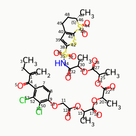 C=C(CC)C(=O)c1ccc(OCC(=O)OC(C)C(=O)OC(C)C(=O)OC(C)C(=O)OC(C)C(=O)NS(=O)(=O)c2cc3c(s2)S(=O)(=O)[C@@H](C)CC3)c(Cl)c1Cl